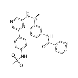 C[C@H](Nc1cncc(-c2ccc(NS(C)(=O)=O)cc2)n1)c1cccc(NC(=O)c2cccnc2)c1